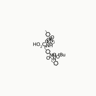 Cc1ccc(S(=O)(=O)N2CCC[C@H]2C(=O)N[C@@H](Cc2ccc(NC(=O)C3Cc4ccccc4N3C(=O)OC(C)(C)C)cc2)C(=O)O)cc1